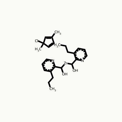 CC1=CC(C)(Cl)C=C1.CCCc1cccnc1[CH](O)[Zr][CH](O)c1ncccc1CCC